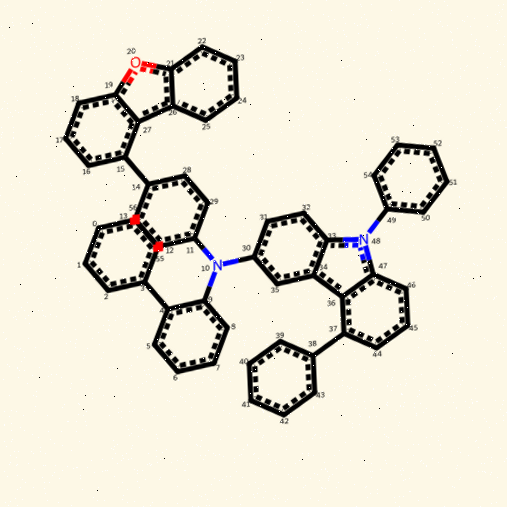 c1ccc(-c2ccccc2N(c2ccc(-c3cccc4oc5ccccc5c34)cc2)c2ccc3c(c2)c2c(-c4ccccc4)cccc2n3-c2ccccc2)cc1